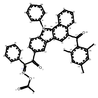 CC(=O)O/N=C(\C(=O)c1ccc2c(c1)c1cc(C(=O)c3c(C)cc(C)cc3C)c3ccccc3c1n2-c1ccccc1)c1ccccc1